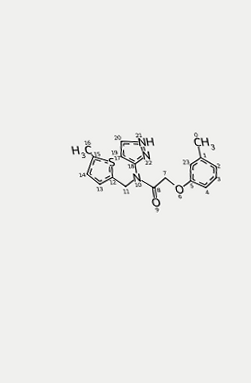 Cc1cccc(OCC(=O)N(Cc2ccc(C)s2)c2cc[nH]n2)c1